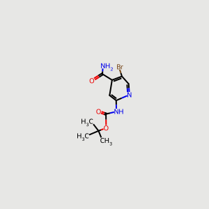 CC(C)(C)OC(=O)Nc1cc(C(N)=O)c(Br)cn1